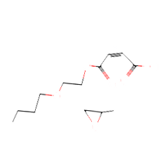 CC1CO1.CCCCOCCOC(=O)/C=C\C(=O)O